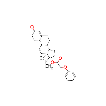 C=C[C@]1(OC(=O)COc2ccccc2)CCC2C3CCC4=CC(=O)CCC4C3CC[C@@]21CC